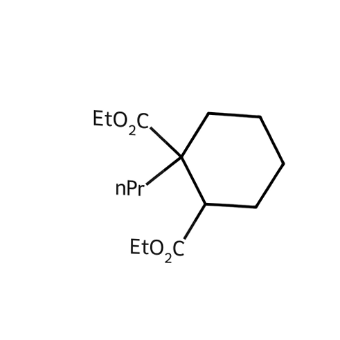 CCCC1(C(=O)OCC)CCCCC1C(=O)OCC